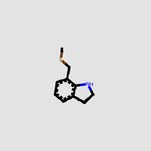 CSCc1cccc2c1NCC2